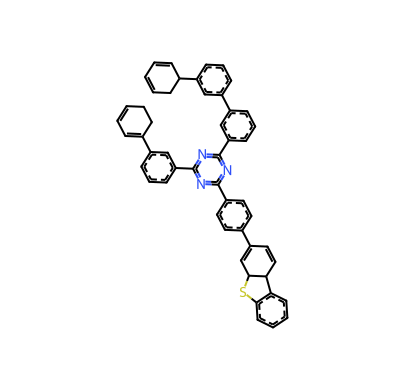 C1=CCCC(c2cccc(-c3nc(-c4ccc(C5=CC6Sc7ccccc7C6C=C5)cc4)nc(-c4cccc(-c5cccc(C6C=CC=CC6)c5)c4)n3)c2)=C1